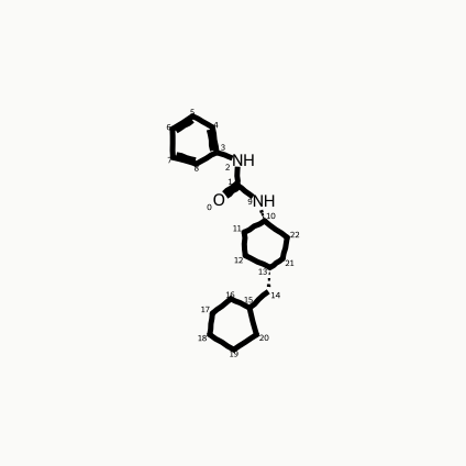 O=C(Nc1ccccc1)N[C@H]1CC[C@@H](CC2CCCCC2)CC1